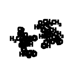 CC(C)CN(CC(O)C(Cc1ccccc1)NC(=O)OC1COC2OCCC12)S(=O)(=O)c1ccc2c(c1)C(=CN1CCCCC1)C(=O)N2.CCCN(CCC)C(C)=C1C(=O)Nc2ccc(S(=O)(=O)N(CC(C)C)CC(O)C(Cc3ccccc3)NC(=O)OC3COC4OCCC34)cc21